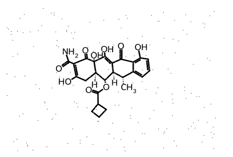 C[C@H]1c2cccc(O)c2C(=O)C2=C(O)[C@]3(O)C(=O)C(C(N)=O)=C(O)C[C@@H]3[C@@H](OC(=O)C3CCC3)[C@@H]21